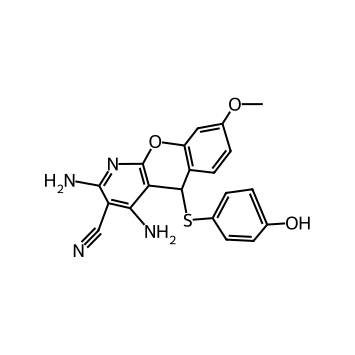 COc1ccc2c(c1)Oc1nc(N)c(C#N)c(N)c1C2Sc1ccc(O)cc1